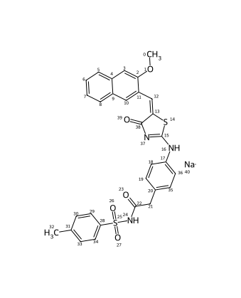 COc1cc2ccccc2cc1C=C1SC(Nc2ccc(CC(=O)NS(=O)(=O)c3ccc(C)cc3)cc2)=NC1=O.[Na]